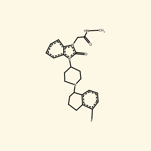 CNC(=O)Cn1c(=O)n(C2CCN(C3CCCc4c(F)cccc43)CC2)c2ccccc21